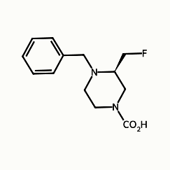 O=C(O)N1CCN(Cc2ccccc2)[C@@H](CF)C1